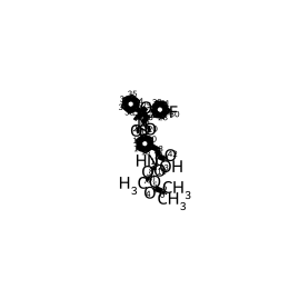 CC(C)C(=O)O[C@@H](C)OC(=O)NC(Cc1cccc(S(=O)(=O)N2CC(Oc3ccc(F)cc3)(c3ccccc3)C2)c1)C(=O)O